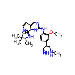 CN/C=C(\C=N)c1ccc(Nc2ncc3ccnc(N[C@@H](C)C(C)(C)C)c3n2)c(OC)c1